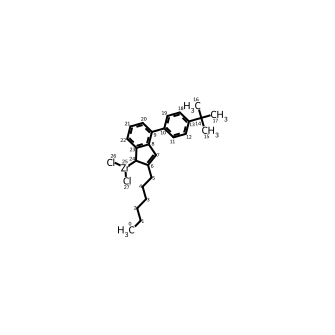 CCCCCCC1=Cc2c(-c3ccc(C(C)(C)C)cc3)cccc2[CH]1[Zr]([Cl])[Cl]